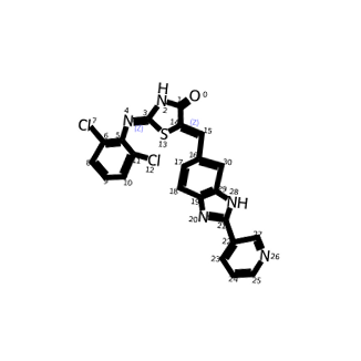 O=C1N/C(=N/c2c(Cl)cccc2Cl)S/C1=C\c1ccc2nc(-c3cccnc3)[nH]c2c1